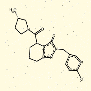 C[C@H]1CCN(C(=O)C2CCCc3nn(Cc4ccc(Cl)nc4)c(=O)n32)C1